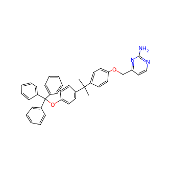 CC(C)(c1ccc(OCc2ccnc(N)n2)cc1)c1ccc(OC(c2ccccc2)(c2ccccc2)c2ccccc2)cc1